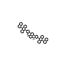 c1ccc2c(-c3c4ccccc4c(-c4ccc5c(c4)Sc4ccc6c7c(ccc-5c47)-c4ccc(-c5c7ccccc7c(-c7cccc8ccccc78)c7ccccc57)cc4S6)c4ccccc34)cccc2c1